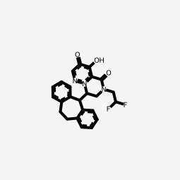 O=C1c2c(O)c(=O)cnn2C(C2c3ccccc3CCc3ccccc32)CN1CC(F)F